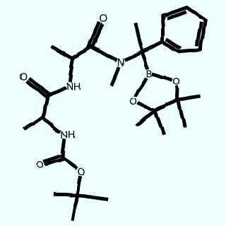 CC(NC(=O)OC(C)(C)C)C(=O)NC(C)C(=O)N(C)C(C)(B1OC(C)(C)C(C)(C)O1)c1ccccc1